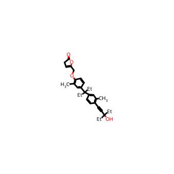 CCC(O)(C#Cc1ccc(C(CC)(CC)c2ccc(OCC3=CCC(=O)O3)c(C)c2)cc1C)CC